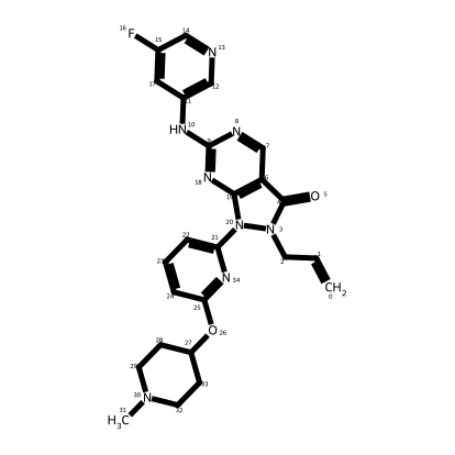 C=CCn1c(=O)c2cnc(Nc3cncc(F)c3)nc2n1-c1cccc(OC2CCN(C)CC2)n1